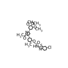 COc1cc(-c2cc(-c3ccc(C)c(OCC(=O)Nc4nc5ccc(Cl)cc5s4)c3)n(C(C)=O)n2)cc(OC)c1OC